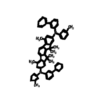 Cc1cccc(N(c2cccc(-c3ccccc3)c2)c2cc(C)c3c(c2)C(C)(C)c2c-3ccc3c2C(C)(C)c2cc(N(c4cccc(C)c4)c4cccc(-c5ccccc5)c4)cc(C)c2-3)c1